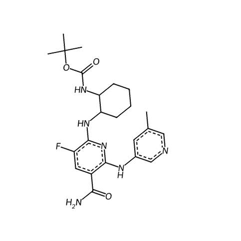 Cc1cncc(Nc2nc(NC3CCCCC3NC(=O)OC(C)(C)C)c(F)cc2C(N)=O)c1